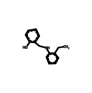 CCc1ccccc1NCc1ccccc1O